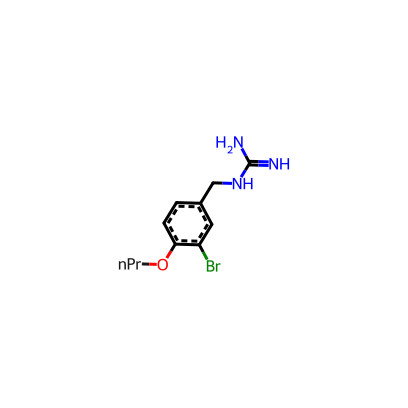 CCCOc1ccc(CNC(=N)N)cc1Br